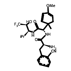 COC1=CCC(C)([C@H](NC(=O)[C@@H](N)Cc2ccccc2C#N)C(=O)N[C@@H](C(C)C)[C@H](O)C(F)(F)F)C=C1